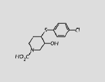 O=C(O)N1CCC(Sc2ccc(Cl)cc2)C(O)C1